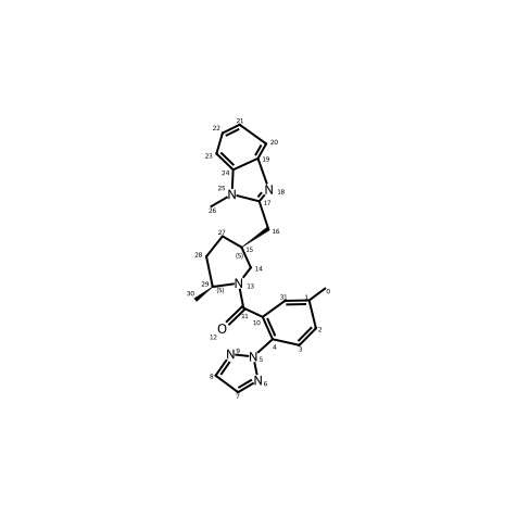 Cc1ccc(-n2nccn2)c(C(=O)N2C[C@H](Cc3nc4ccccc4n3C)CC[C@@H]2C)c1